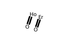 [O]=[Er].[O]=[Ho]